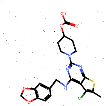 Cc1sc2nc(N3CCC(OC(=O)O)CC3)nc(NCc3ccc4c(c3)OCO4)c2c1Cl